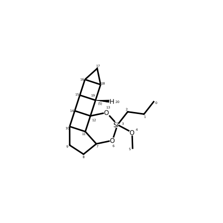 CCC[Si]1(OC)OC2CCC3C2C2(O1)C3C1C3CC3[C@@H]12